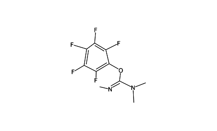 C/N=C(\Oc1c(F)c(F)c(F)c(F)c1F)N(C)C